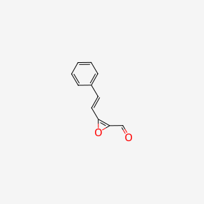 O=CC1=C(C=Cc2ccccc2)O1